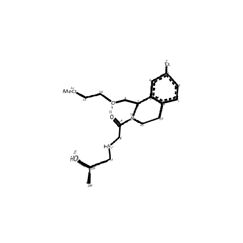 CCc1ccc2c(c1)C(COCCOC)N(C(=O)CNC[C@@H](C)O)CC2